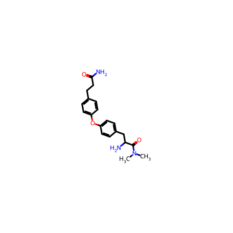 CN(C)C(=O)C(N)Cc1ccc(Oc2ccc(CCC(N)=O)cc2)cc1